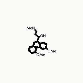 CNCCC(O)c1cc2cccc(OC)c2c2cc(OC)ccc12